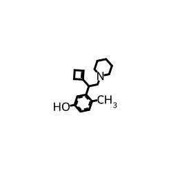 Cc1ccc(O)cc1C(CN1CCCCC1)C1=CCC1